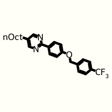 CCCCCCCCc1cnc(-c2ccc(OCc3ccc(C(F)(F)F)cc3)cc2)nc1